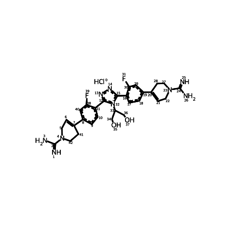 Cl.N=C(N)N1CC=C(c2ccc(-c3nnc(-c4ccc(C5=CCN(C(=N)N)CC5)cc4F)n3C(CO)CO)c(F)c2)CC1